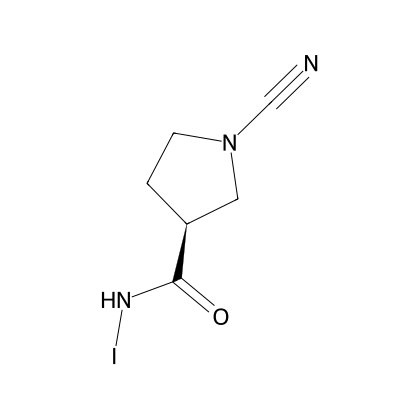 N#CN1CC[C@H](C(=O)NI)C1